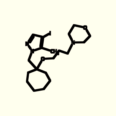 Cc1c(I)cnn1CC1(OCCCN2CCOCC2)CCCCCC1